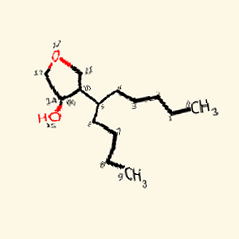 CCCCCC(CCCC)C1COC[C@@H]1O